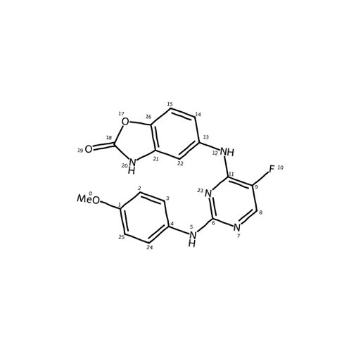 COc1ccc(Nc2ncc(F)c(Nc3ccc4oc(=O)[nH]c4c3)n2)cc1